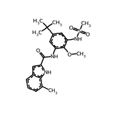 COc1c(NC(=O)c2cc3cccc(C)c3[nH]2)cc(C(C)(C)C)cc1NS(C)(=O)=O